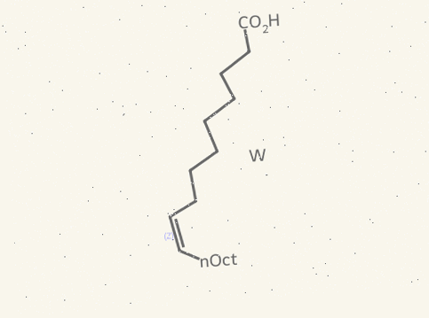 CCCCCCCC/C=C\CCCCCCCC(=O)O.[W]